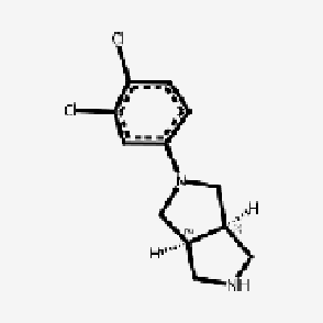 Clc1ccc(N2C[C@H]3CNC[C@H]3C2)cc1Cl